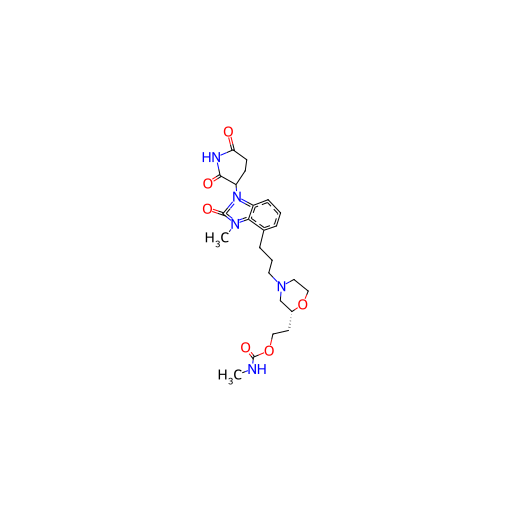 CNC(=O)OCC[C@@H]1CN(CCCc2cccc3c2n(C)c(=O)n3C2CCC(=O)NC2=O)CCO1